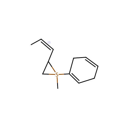 C/C=C\C1CS1(C)C1=CCC=CC1